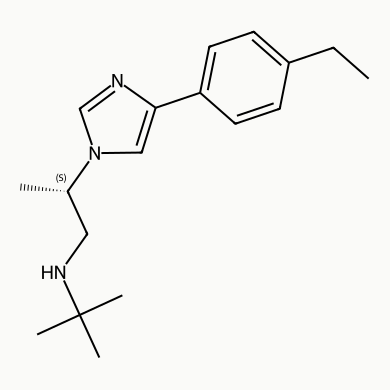 CCc1ccc(-c2cn([C@@H](C)CNC(C)(C)C)cn2)cc1